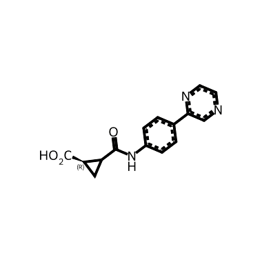 O=C(Nc1ccc(-c2cnccn2)cc1)C1C[C@H]1C(=O)O